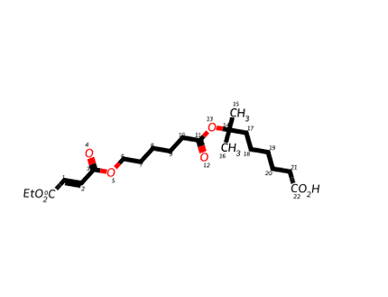 CCOC(=O)/C=C/C(=O)OCCCCCC(=O)OC(C)(C)CCCCCC(=O)O